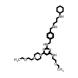 CCOCCNc1cc(N2CCN(CCOCC)CC2)nc(NCc2ccc(CNCCCNC3CCCCC3)cc2)n1